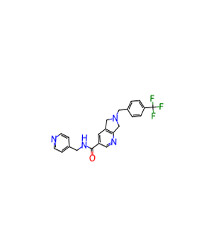 O=C(NCc1ccncc1)c1cnc2c(c1)CN(Cc1ccc(C(F)(F)F)cc1)C2